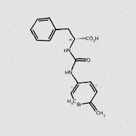 C=C(Br)/C=C\C(=C/C)NC(=O)N[C@H](Cc1ccccc1)C(=O)O